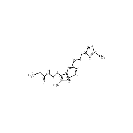 CCC(=O)NCCc1c(C)[nH]c2ccc(OCCn3ccc(C)n3)cc12